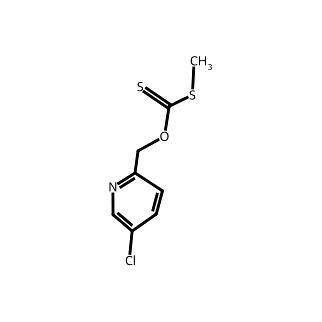 CSC(=S)OCc1ccc(Cl)cn1